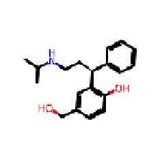 CC(C)NCC[C@@H](c1ccccc1)c1cc(CO)ccc1O